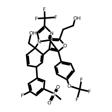 Cc1nc(C(F)(F)F)cn1C1(CO)C=CC(c2cc(F)cc(S(C)(=O)=O)c2)C=C1c1nc(CCO)oc1-c1ccc(OC(F)(F)F)cc1